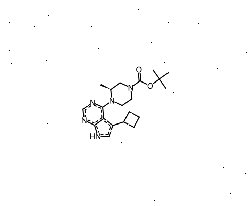 C[C@H]1CN(C(=O)OC(C)(C)C)CCN1c1ncnc2[nH]cc(C3CCC3)c12